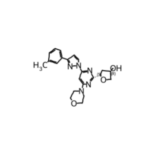 Cc1cccc(-c2ccn(-c3cc(N4CCOCC4)nc([C@@H]4C[C@@H](O)CO4)n3)n2)c1